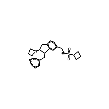 O=S(=O)(NCc1ccc2c(c1)C(Cc1ccccc1)C(N1CCC1)C2)C1CCC1